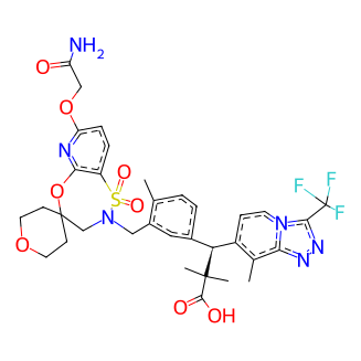 Cc1ccc([C@@H](c2ccn3c(C(F)(F)F)nnc3c2C)C(C)(C)C(=O)O)cc1CN1CC2(CCOCC2)Oc2nc(OCC(N)=O)ccc2S1(=O)=O